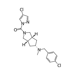 CN(Cc1ccc(Cl)cc1)[C@@H]1C[C@@H]2CN(C(=O)n3cc(Cl)cn3)C[C@@H]2C1